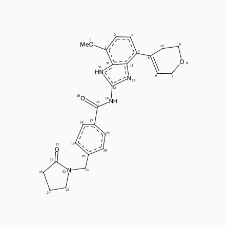 COc1ccc(C2=CCOCC2)c2nc(NC(=O)c3ccc(CN4CCCC4=O)cc3)[nH]c12